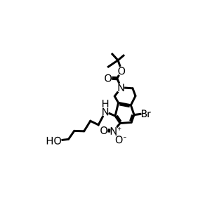 CC(C)(C)OC(=O)N1CCc2c(Br)cc([N+](=O)[O-])c(NCCCCCO)c2C1